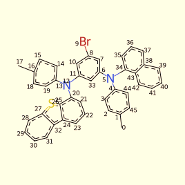 Cc1ccc(N(c2cc(Br)cc(N(c3ccc(C)cc3)c3cccc4c3sc3ccccc34)c2)c2cccc3ccccc23)cc1